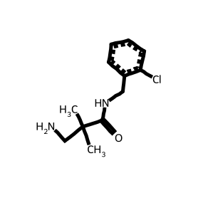 CC(C)(CN)C(=O)NCc1ccccc1Cl